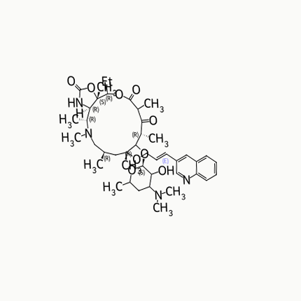 CC[C@H]1OC(=O)C(C)C(=O)[C@H](C)C(O[C@@H]2OC(C)CC(N(C)C)C2O)[C@](C)(OC/C=C/c2cnc3ccccc3c2)C[C@@H](C)CN(C)[C@H](C)[C@H]2NC(=O)O[C@@]21C